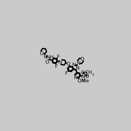 COc1ncc(-c2nc(N3CCOCC3)nc3c(OC4CCN(c5c(F)cc(C(=O)NOC6CCCCO6)cc5F)CC4)cc(F)cc23)cc1NS(C)(=O)=O